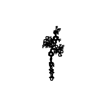 COC(=O)NC(C(=O)NC(Cc1ccc(C#Cc2ccc(N3CC4(C3)CN(C3COC3)C4)nc2)cc1)C(O)CN(Cc1c(F)cc(-c2ccn(C(F)F)n2)cc1F)NC(=O)C(NC(=O)O)C(C)(C)C(F)(F)F)C(C)(C)C(F)(F)F